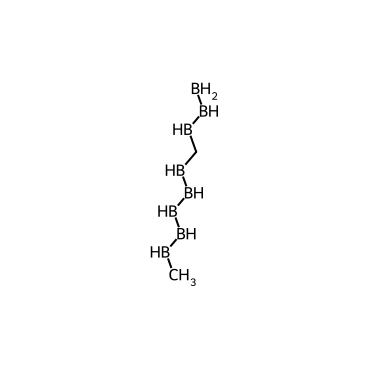 BBBCBBBBBC